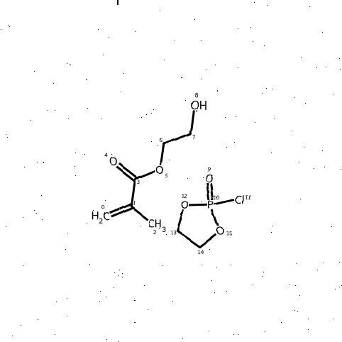 C=C(C)C(=O)OCCO.O=P1(Cl)OCCO1